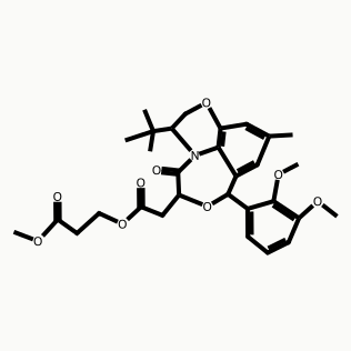 COC(=O)CCOC(=O)CC1OC(c2cccc(OC)c2OC)c2cc(C)cc3c2N(C1=O)C(C(C)(C)C)CO3